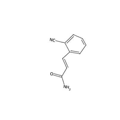 N#Cc1ccccc1C=CC(N)=O